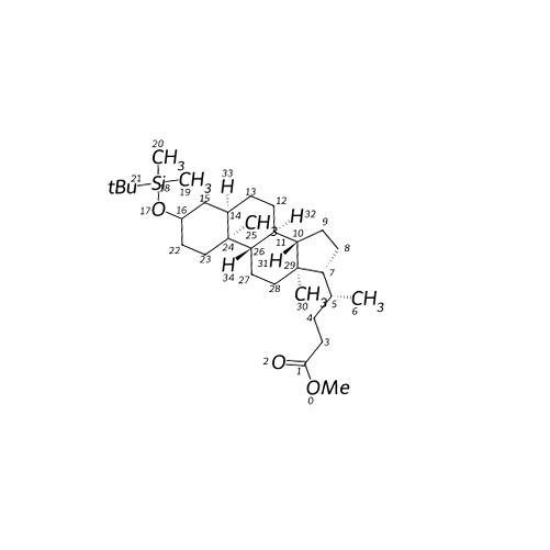 COC(=O)CC[C@@H](C)[C@H]1CC[C@H]2[C@@H]3CC[C@@H]4CC(O[Si](C)(C)C(C)(C)C)CC[C@]4(C)[C@H]3CC[C@]12C